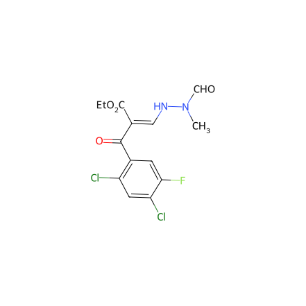 CCOC(=O)C(=CNN(C)C=O)C(=O)c1cc(F)c(Cl)cc1Cl